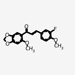 COc1ccc(C=CC(=O)c2cc3c(cc2OC)OCO3)cc1F